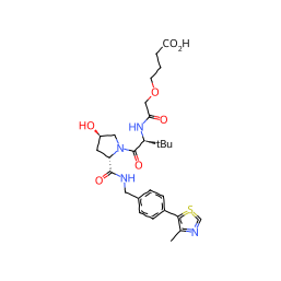 Cc1ncsc1-c1ccc(CNC(=O)[C@@H]2C[C@@H](O)CN2C(=O)[C@@H](NC(=O)COCCCC(=O)O)C(C)(C)C)cc1